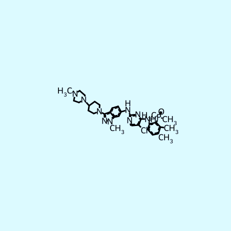 Cc1ccc(Nc2nc(Nc3ccc4c(N5CCC(N6CCN(C)CC6)CC5)nn(C)c4c3)ncc2Cl)c(P(C)(C)=O)c1C